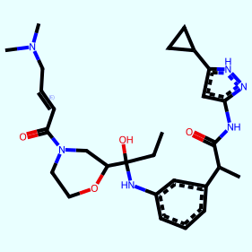 CCC(O)(Nc1cccc(C(C)C(=O)Nc2cc(C3CC3)[nH]n2)c1)C1CN(C(=O)/C=C/CN(C)C)CCO1